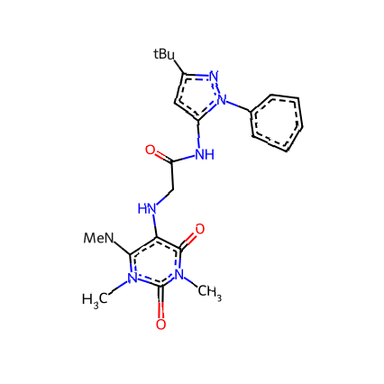 CNc1c(NCC(=O)Nc2cc(C(C)(C)C)nn2-c2ccccc2)c(=O)n(C)c(=O)n1C